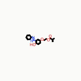 C=C(C)C(=O)OCCOc1ccc(O)c(-n2nc3ccccc3n2)c1